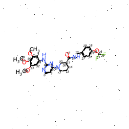 COc1cc(Nc2nccc(N3CCC[C@H](C(=O)NCc4ccc(OC(F)F)cc4)C3)n2)cc(OC)c1OC